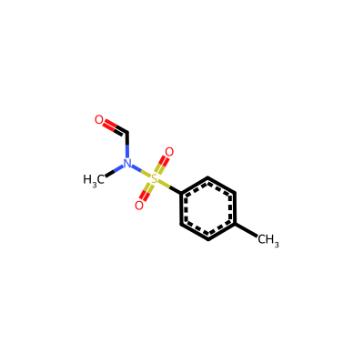 Cc1ccc(S(=O)(=O)N(C)C=O)cc1